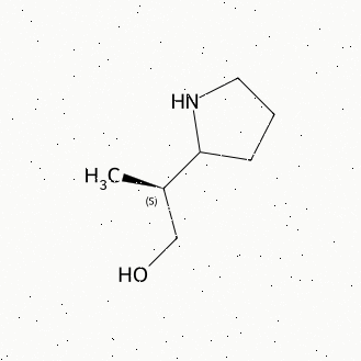 C[C@H](CO)C1CCCN1